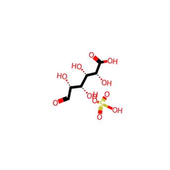 O=C[C@H](O)[C@@H](O)[C@H](O)[C@@H](O)C(=O)O.O=S(=O)(O)O